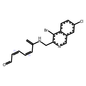 C=C(/C=C\C=C/C=O)NCc1ncc2cc(Cl)ccc2c1Br